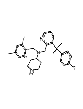 Cc1cnc(CN(Cc2ncccc2C(C)(C)c2ccc(F)cc2)C2CCNCC2)c(C)c1